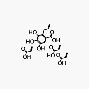 C=CC(=O)O.C=CC(=O)O.C=CC(=O)O.C=CCc1c(C(=O)O)cc(O)c(O)c1O